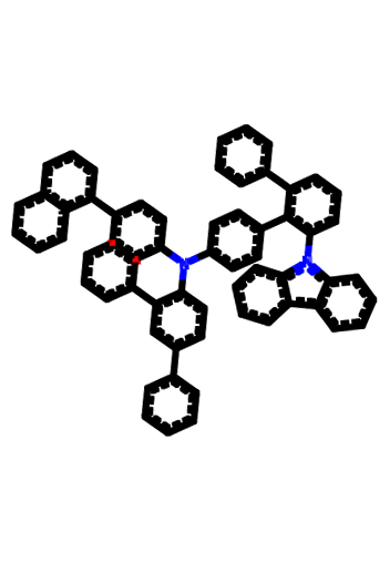 c1ccc(-c2ccc(N(c3ccc(-c4c(-c5ccccc5)cccc4-n4c5ccccc5c5ccccc54)cc3)c3ccc(-c4cccc5ccccc45)cc3)c(-c3ccccc3)c2)cc1